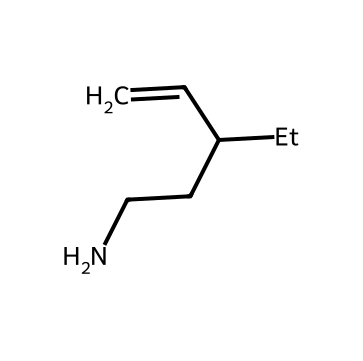 C=CC(CC)CCN